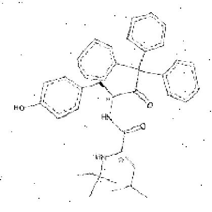 CC(C)C[C@H](NC(C)(C)C)C(=O)N[C@@H](Cc1ccc(O)cc1)C(=O)C(c1ccccc1)(c1ccccc1)c1ccccc1